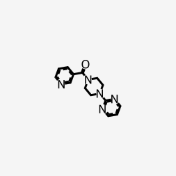 O=C(c1cccnc1)N1CCN(c2ncccn2)CC1